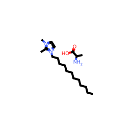 CC(N)C(=O)O.CCCCCCCCCCCC[n+]1ccn(C)c1C